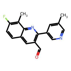 Cc1cncc(-c2nc3c(C)c(F)ccc3cc2C=O)c1